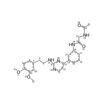 COc1ccc(CCNc2nccc(-c3cccc(NC(=O)CNC(C)=O)c3)n2)cc1OC